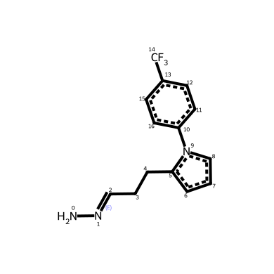 N/N=C/CCc1cccn1-c1ccc(C(F)(F)F)cc1